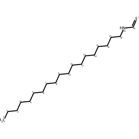 CCCCCCCCCCCCCCCCCCCNC=S